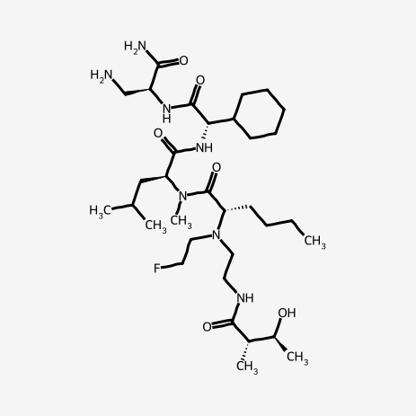 CCCC[C@@H](C(=O)N(C)[C@@H](CC(C)C)C(=O)N[C@H](C(=O)N[C@@H](CN)C(N)=O)C1CCCCC1)N(CCF)CCNC(=O)[C@@H](C)[C@H](C)O